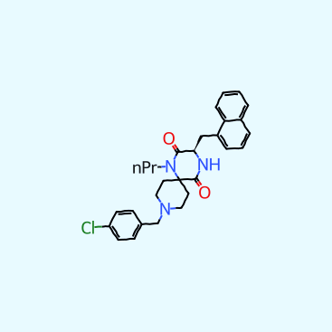 CCCN1C(=O)[C@@H](Cc2cccc3ccccc23)NC(=O)C12CCN(Cc1ccc(Cl)cc1)CC2